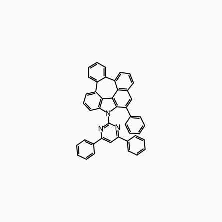 c1ccc(-c2cc(-c3ccccc3)nc(-n3c4cccc5c4c4c6c(cccc6cc(-c6ccccc6)c43)-c3ccccc3-5)n2)cc1